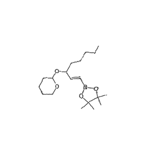 CCCCCC(/C=C/B1OC(C)(C)C(C)(C)O1)OC1CCCCO1